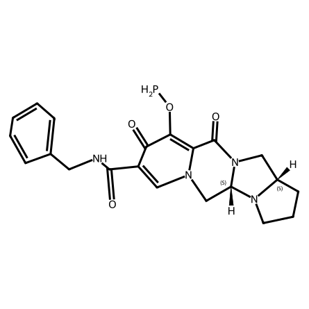 O=C(NCc1ccccc1)c1cn2c(c(OP)c1=O)C(=O)N1C[C@@H]3CCCN3[C@@H]1C2